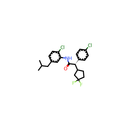 CC(C)Cc1ccc(Cl)c(NC(=O)[C@H](c2ccc(Cl)cc2)C2CCC(F)(F)C2)c1